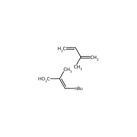 C=CC(=C)C.CCCCC=C(C)C(=O)O